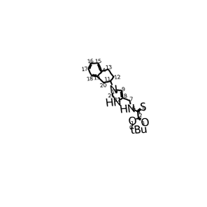 CC(C)(C)OC(=O)C(=S)NCC1=CN(C2CCc3ccccc3C2)CN1